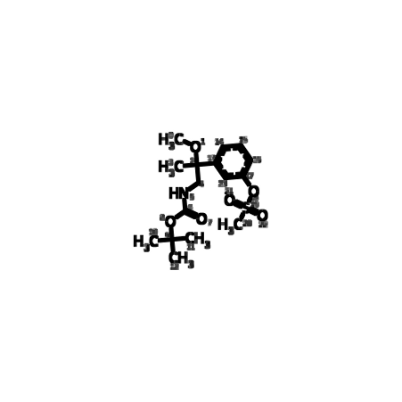 COC(C)(CNC(=O)OC(C)(C)C)c1cccc(OS(C)(=O)=O)c1